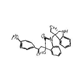 CCC1(N2C(=O)C(O)(CC(=O)c3ccc(O)cc3)c3ccccc32)CNc2ccccc21